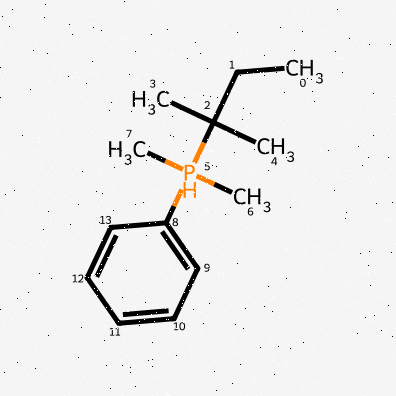 CCC(C)(C)[PH](C)(C)c1ccccc1